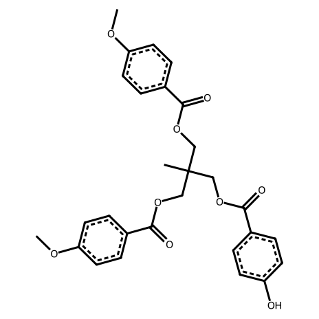 COc1ccc(C(=O)OCC(C)(COC(=O)c2ccc(O)cc2)COC(=O)c2ccc(OC)cc2)cc1